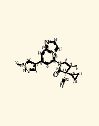 C[C@@H]1CN(c2cc(-c3cnn(C)c3)cc3nccn23)C(=O)[C@]1(C#N)C1CC1